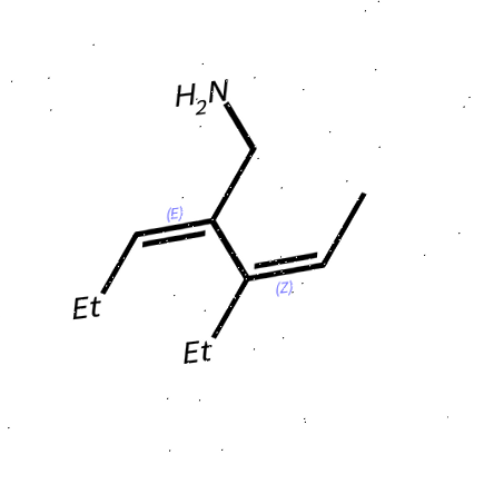 C/C=C(CC)\C(=C/CC)CN